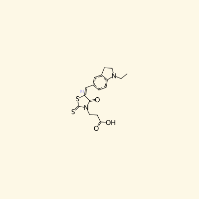 CCN1CCc2cc(/C=C3/SC(=S)N(CCC(=O)O)C3=O)ccc21